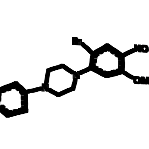 COc1cc(N2CCN(c3ccncc3)CC2)c(Br)cc1N=O